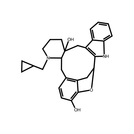 Oc1ccc2c3c1OC(C3)c1[nH]c3ccccc3c1CC1(O)CCCN(CC3CC3)C1C2